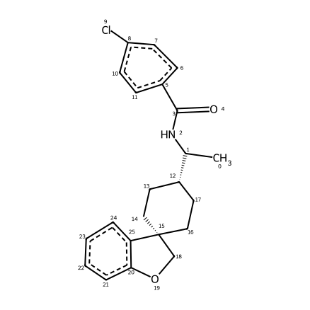 CC(NC(=O)c1ccc(Cl)cc1)[C@H]1CC[C@]2(CC1)COc1ccccc12